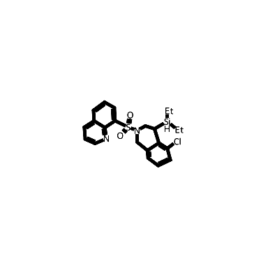 CC[SiH](CC)C1CN(S(=O)(=O)c2cccc3cccnc23)Cc2cccc(Cl)c21